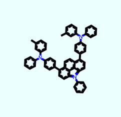 Cc1cccc(N(c2ccccc2)c2ccc(-c3ccc4c5c3ccc3c(-c6ccc(N(c7ccccc7)c7cccc(C)c7)cc6)ccc(c35)n4-c3ccccc3)cc2)c1